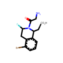 NCC(=O)N1C(F)Cc2c(Br)cccc2C1CC(=O)O